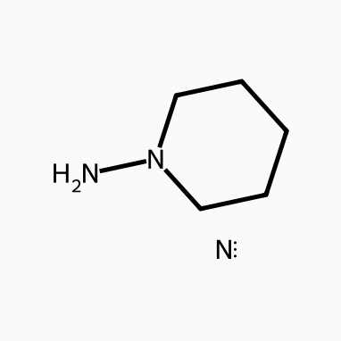 NN1CCCCC1.[N]